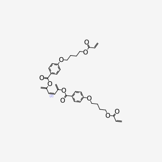 C=CC(=O)OCCCCOc1ccc(C(=O)OC(=C)/C=C\C(=C)OC(=O)c2ccc(OCCCCOC(=O)C=C)cc2)cc1